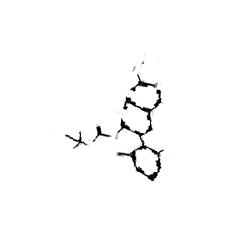 CNc1ncc2cc(-c3c(Cl)cccc3Cl)c(NC(=O)NC(C)(C)C)nc2n1